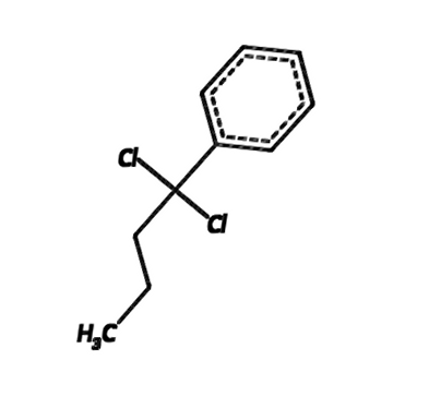 CCCC(Cl)(Cl)c1ccccc1